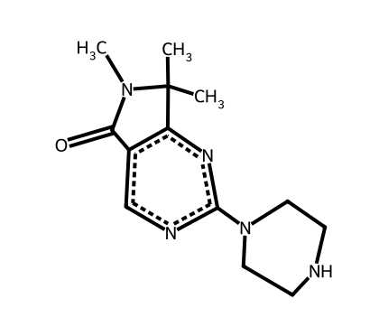 CN1C(=O)c2cnc(N3CCNCC3)nc2C1(C)C